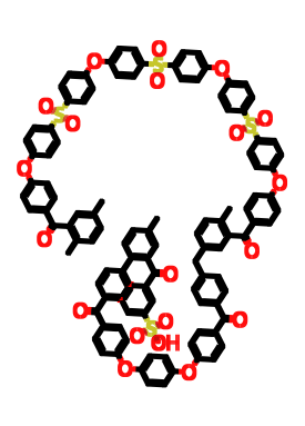 Cc1ccc(C)c(C(=O)c2ccc(Oc3ccc(S(=O)(=O)c4ccc(Oc5ccc(S(=O)(=O)c6ccc(Oc7ccc(S(=O)(=O)c8ccc(Oc9ccc(C(=O)c%10cc(Cc%11ccc(C(=O)c%12ccc(Oc%13ccc(Oc%14ccc(C(=O)c%15ccc(-c%16ccc(C)cc%16C(=O)c%16cccc(S(=O)(=O)O)c%16)cc%15)cc%14)cc%13)cc%12)cc%11)ccc%10C)cc9)cc8)cc7)cc6)cc5)cc4)cc3)cc2)c1